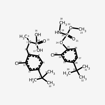 CN(Cc1ccc(C(C)(C)C)cc1Cl)P(=O)(O)O.CNP(=O)(OC)Oc1ccc(C(C)(C)C)cc1Cl